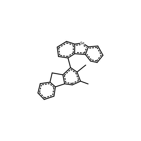 Cc1cc2c(c(-c3cccc4[se]c5ccccc5c34)c1C)Cc1ccccc1-2